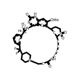 COc1cc2[nH]c(=O)nc3c2cc1C1CCS(=O)(=O)C(CCCCNC(=O)CCN2CCC(CC2)C(F)(F)c2cccc(c2)[C@@H](C)N3)C1